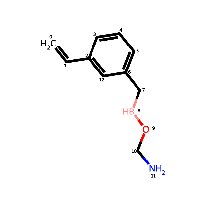 C=Cc1cccc(CBOCN)c1